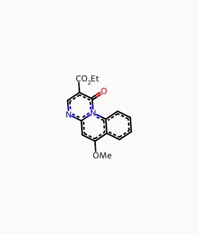 CCOC(=O)c1cnc2cc(OC)c3ccccc3n2c1=O